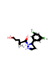 C=C(CCCO)C(=O)N1N=CCC1c1cc(F)cc(F)c1